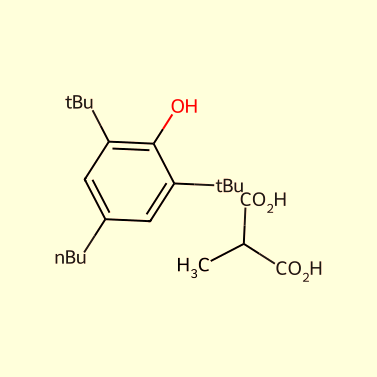 CC(C(=O)O)C(=O)O.CCCCc1cc(C(C)(C)C)c(O)c(C(C)(C)C)c1